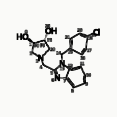 O[C@@H]1CN(Cc2nc3ccccc3n2Cc2ccc(Cl)cc2)C[C@H]1O